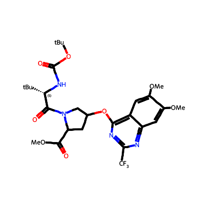 COC(=O)C1CC(Oc2nc(C(F)(F)F)nc3cc(OC)c(OC)cc23)CN1C(=O)[C@@H](NC(=O)OC(C)(C)C)C(C)(C)C